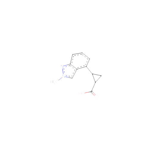 Cn1cc2c(C3CC3C(=O)O)cccc2n1